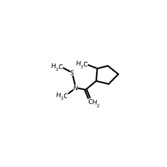 C=C(C1CCCC1C)N(C)SC